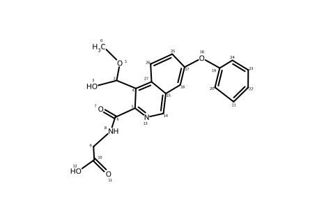 COC(O)c1c(C(=O)NCC(=O)O)ncc2cc(Oc3ccccc3)ccc12